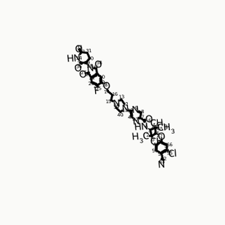 CC1(C)[C@H](NC(=O)c2cnc(N3CCN(CCCOc4cc5c(cc4F)C(=O)N(C4CCC(=O)NC4=O)C5=O)CC3)cn2)C(C)(C)[C@H]1Oc1ccc(C#N)c(Cl)c1